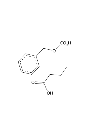 CCCC(=O)O.O=C(O)OCc1ccccc1